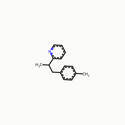 Cc1ccc(CC(C)c2ccccn2)cc1